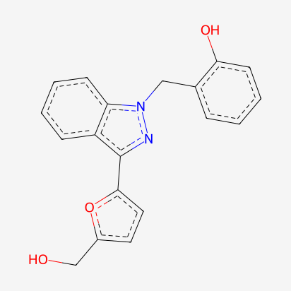 OCc1ccc(-c2nn(Cc3ccccc3O)c3ccccc23)o1